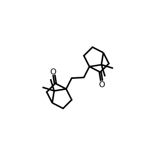 CC1(C)C2CCC1(CCC13CCC(CC1=O)C3(C)C)C(=O)C2